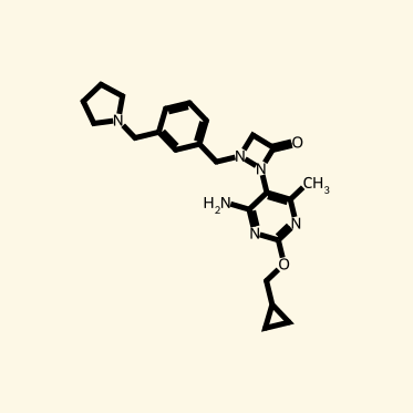 Cc1nc(OCC2CC2)nc(N)c1N1C(=O)CN1Cc1cccc(CN2CCCC2)c1